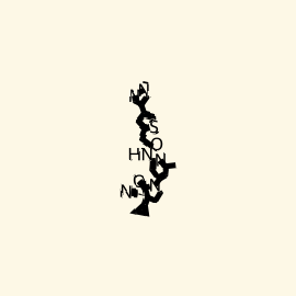 Cc1cc(N2CC[C@@](C#N)(C3CC3)C2=O)cc(NC(=O)Cc2cc(-c3cnn(C)c3)cs2)n1